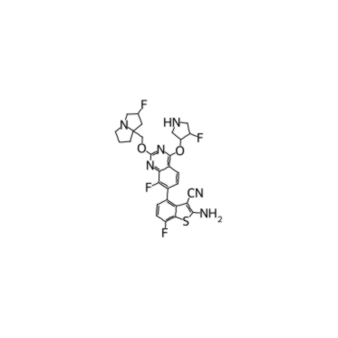 N#Cc1c(N)sc2c(F)ccc(-c3ccc4c(OC5CNCC5F)nc(OCC56CCCN5CC(F)C6)nc4c3F)c12